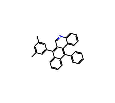 Cc1cc(C)cc(-c2c3ccccc3c(-c3ccccc3)c3c2cnc2ccccc23)c1